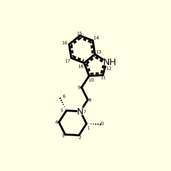 C[C@@H]1CCC[C@H](C)N1CCc1c[nH]c2ccccc12